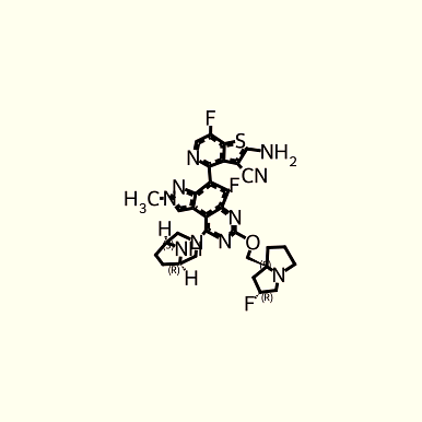 Cn1cc2c(n1)c(-c1ncc(F)c3sc(N)c(C#N)c13)c(F)c1nc(OC[C@@]34CCCN3C[C@H](F)C4)nc(N3C[C@H]4CC[C@@H](C3)N4)c12